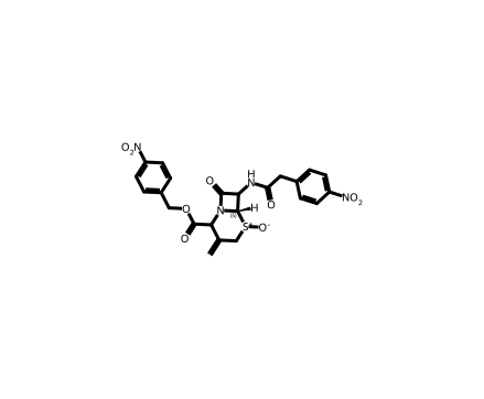 C=C1C[S+]([O-])[C@H]2C(NC(=O)Cc3ccc([N+](=O)[O-])cc3)C(=O)N2C1C(=O)OCc1ccc([N+](=O)[O-])cc1